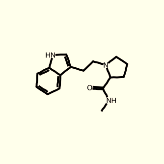 CNC(=O)C1CCCN1CCc1c[nH]c2ccccc12